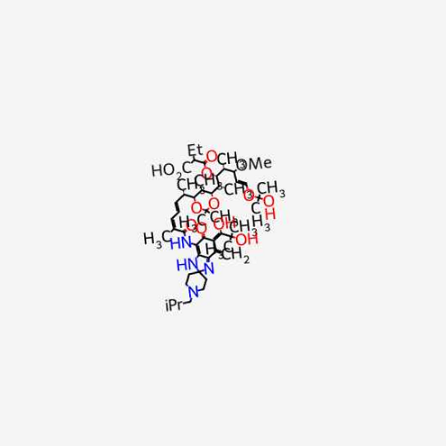 C=C1C2=NC3(CCN(CC(C)C)CC3)NC2=C(NC(=O)/C(C)=C\C=C\[C@H](C)[C@@H]2OC(C)(C)O[C@@H]([C@@H](C)[C@H](OC(=O)C(CC)C(=O)O)[C@H](C)[C@H](/C=C/OC(C)(C)O)OC)[C@@H]2C)C(=O)/C1=C(\O)C(C)(C)O